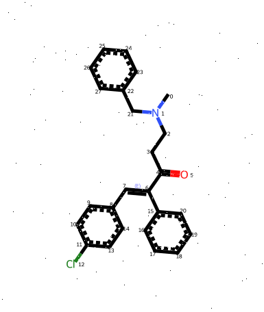 CN(CCC(=O)/C(=C/c1ccc(Cl)cc1)c1ccccc1)Cc1ccccc1